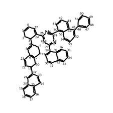 C1=CCC(C2=CC3=C(CC2)CC(c2ccc4ccccc4c2)C=C3)C(c2nc(-c3cccc4ccccc34)nc(-c3cccc4c(-c5ccccc5)cccc34)n2)=C1